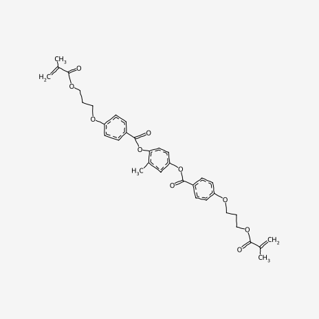 C=C(C)C(=O)OCCCOc1ccc(C(=O)Oc2ccc(OC(=O)c3ccc(OCCCOC(=O)C(=C)C)cc3)c(C)c2)cc1